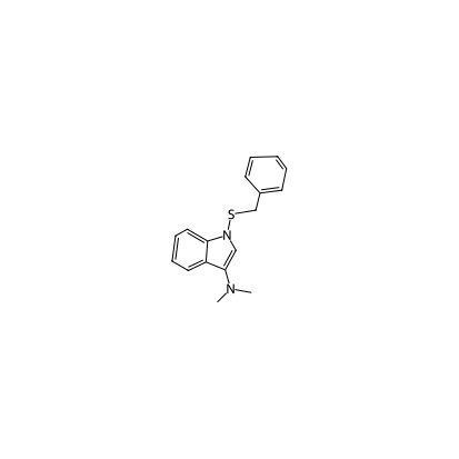 CN(C)c1cn(SCc2ccccc2)c2ccccc12